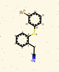 N#CCc1ccccc1Sc1cccc(Br)c1